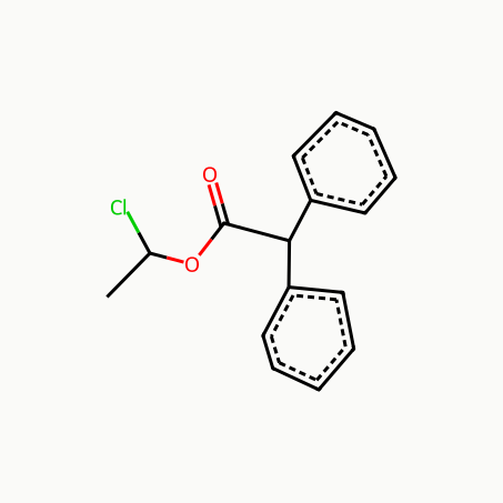 CC(Cl)OC(=O)C(c1ccccc1)c1ccccc1